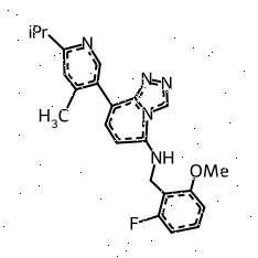 COc1cccc(F)c1CNc1ccc(-c2cnc(C(C)C)cc2C)c2nncn12